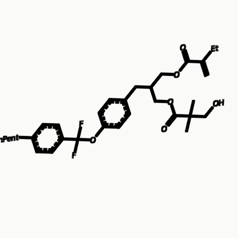 C=C(CC)C(=O)OCC(COC(=O)C(C)(C)CO)Cc1ccc(OC(F)(F)c2ccc(CCCCC)cc2)cc1